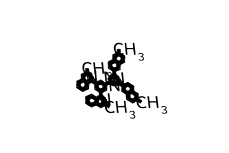 Cc1ccc2cc(-c3nc(-c4cc(-c5nc(C)cc6ccccc56)cc(-c5nc(C)cc6ccccc56)c4)nc(-c4ccc5cc(C)ccc5c4)n3)ccc2c1